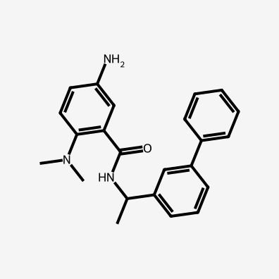 CC(NC(=O)c1cc(N)ccc1N(C)C)c1cccc(-c2ccccc2)c1